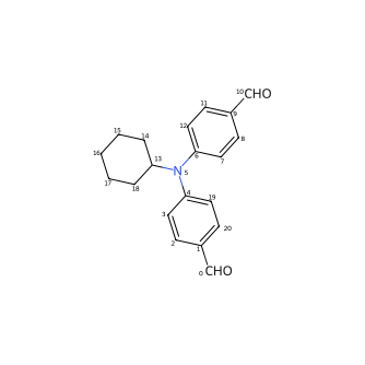 O=Cc1ccc(N(c2ccc(C=O)cc2)C2CCCCC2)cc1